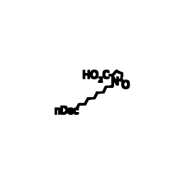 CCCCCCCCCCCCCCCCCCN1C(=O)CCC1C(=O)O